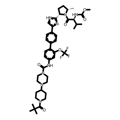 COC(=O)N[C@H](C(=O)N1[C@@H](C)CC[C@H]1c1nc(-c2ccc(-c3ccc(NC(=O)N4CCN(C5CCN(C(=O)C(C)(C)C)CC5)CC4)cc3OC(F)(F)F)cc2)c[nH]1)C(C)C